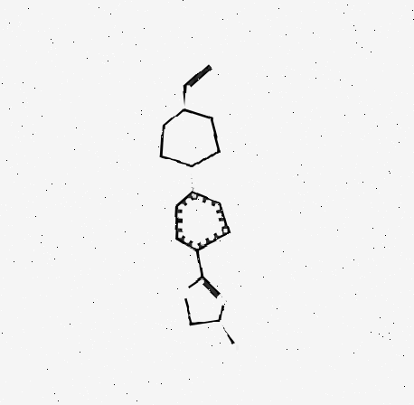 C=C[C@H]1CC[C@H](c2ccc(C3=N[C@@H](C(C)C)CO3)cc2)CC1